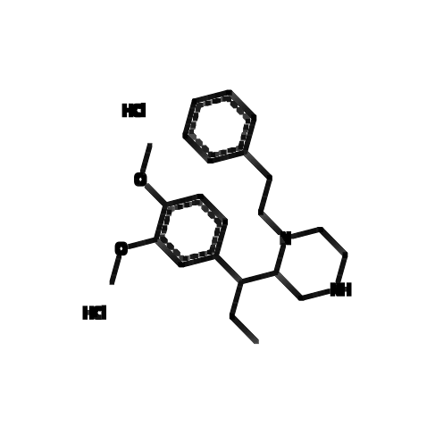 CCC(c1ccc(OC)c(OC)c1)C1CNCCN1CCc1ccccc1.Cl.Cl